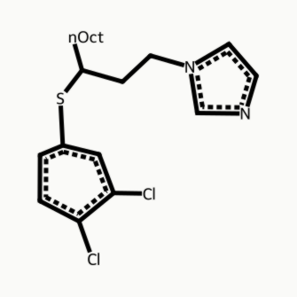 CCCCCCCCC(CCn1ccnc1)Sc1ccc(Cl)c(Cl)c1